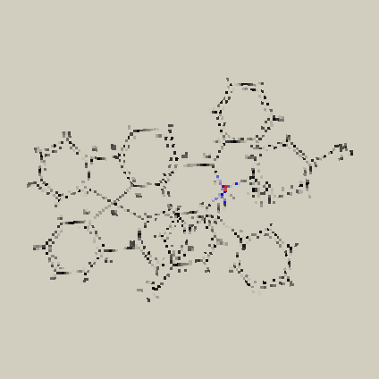 Cc1ccc(/N=C(\c2ccccc2)c2ccc3c(c2)C2(c4ccccc4-3)c3ccccc3-c3ccc(C(c4ccccc4)N(C)c4ccc(C)cc4)cc32)cc1